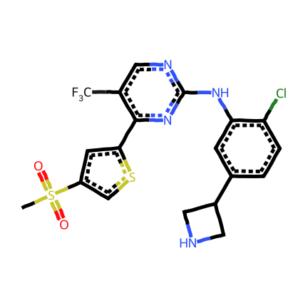 CS(=O)(=O)c1csc(-c2nc(Nc3cc(C4CNC4)ccc3Cl)ncc2C(F)(F)F)c1